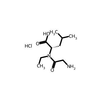 CCN(C(=O)CN)[C@@H](CC(C)C)C(=O)O.Cl